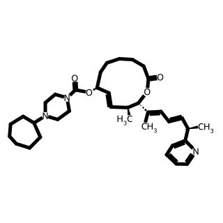 C/C(=C\C=C\[C@@H](C)c1ccccn1)[C@H]1OC(=O)CCCCC[C@@H](OC(=O)N2CCN(C3CCCCCC3)CC2)/C=C/[C@@H]1C